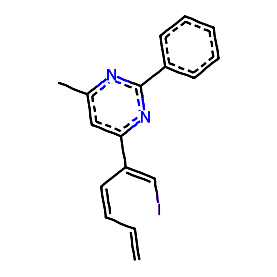 C=C/C=C\C(=C/I)c1cc(C)nc(-c2ccccc2)n1